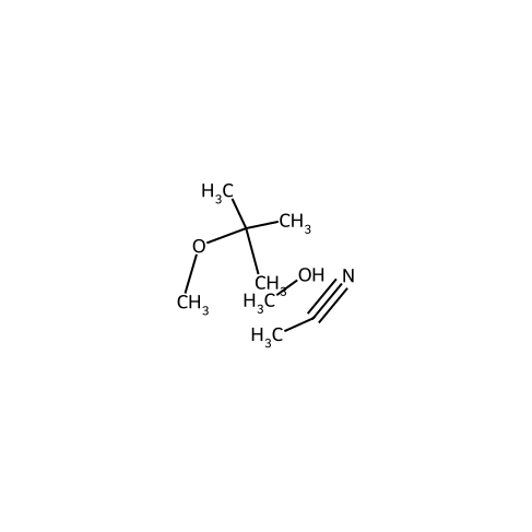 CC#N.CO.COC(C)(C)C